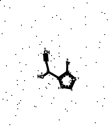 C#CC(O)c1ncsc1Br